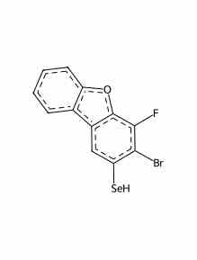 Fc1c(Br)c([SeH])cc2c1oc1ccccc12